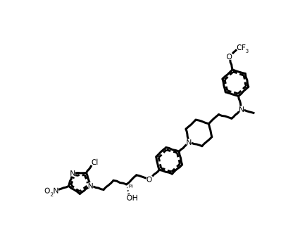 CN(CCC1CCN(c2ccc(OC[C@H](O)CCn3cc([N+](=O)[O-])nc3Cl)cc2)CC1)c1ccc(OC(F)(F)F)cc1